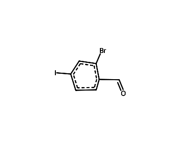 O=Cc1ccc(I)cc1Br